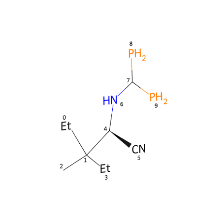 CCC(C)(CC)[C@H](C#N)NC(P)P